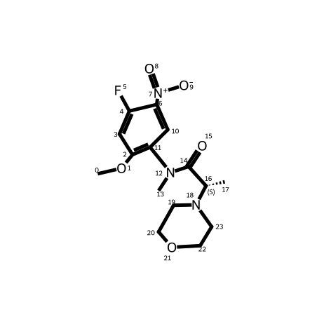 COc1cc(F)c([N+](=O)[O-])cc1N(C)C(=O)[C@H](C)N1CCOCC1